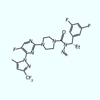 C=NN(C(=O)N1CCN(c2ncc(F)c(-n3nc(C(F)(F)F)cc3C)n2)CC1)[C@@H](CC)c1cc(F)cc(F)c1